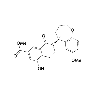 COC(=O)c1cc(O)c2c(c1)C(=O)N([C@H]1CCCOc3ccc(OC)cc31)CC2